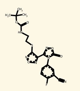 CC(C)(C)OC(=O)NCCSc1nonc1-c1noc(=O)n1-c1ccc(F)c(C#N)c1